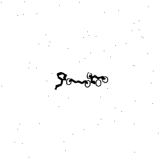 CCCc1ccccc1OCCCCCOc1coc(C=O)cc1=O